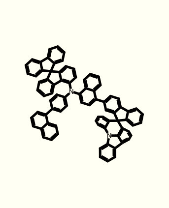 c1ccc2c(c1)-c1ccccc1C21c2ccccc2-c2c(N(c3ccc(-c4cccc5ccccc45)cc3)c3ccc(-c4ccc5c(c4)C4(c6ccccc6-5)c5ccccc5-n5c6ccccc6c6cccc4c65)c4ccccc34)cccc21